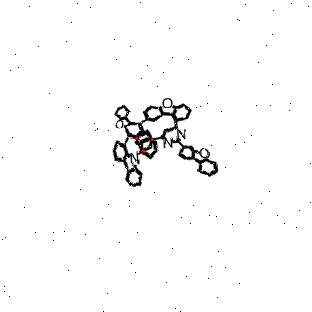 c1ccc(-c2cc(-c3cccc4oc5ccc(-c6ccc(-c7cccc8c9ccccc9n(-c9ccccc9)c78)c7oc8ccccc8c67)cc5c34)nc(-c3ccc4c(c3)oc3ccccc34)n2)cc1